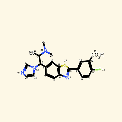 CCC(C(c1ccc2nc(-c3ccc(F)c(C(=O)O)c3)sc2c1)n1ccnc1)N(C)C